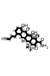 CN(C)[C@@H]1C(O)=C(C(N)=O)C(=O)[C@@]2(O)C(O)=C3C(=O)c4c(O)ccc(C=CC=N)c4C[C@H]3C[C@@H]12